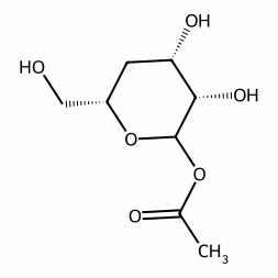 CC(=O)OC1O[C@H](CO)C[C@H](O)[C@@H]1O